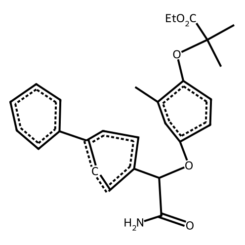 CCOC(=O)C(C)(C)Oc1ccc(OC(C(N)=O)c2ccc(-c3ccccc3)cc2)cc1C